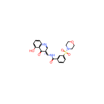 N=C/C(=C\NC(=O)c1cccc(S(=O)(=O)N2CCOCC2)c1)C(=O)c1ccccc1O